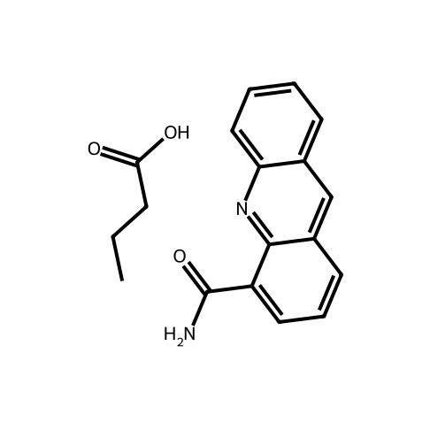 CCCC(=O)O.NC(=O)c1cccc2cc3ccccc3nc12